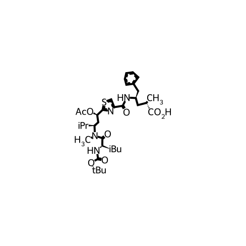 CC[C@H](C)[C@H](NC(=O)OC(C)(C)C)C(=O)N(C)[C@H](C[C@@H](OC(C)=O)c1nc(C(=O)N[C@@H](Cc2ccccc2)C[C@H](C)C(=O)O)cs1)C(C)C